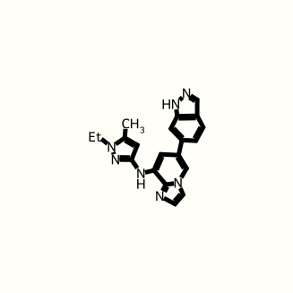 CCn1nc(Nc2cc(-c3ccc4cn[nH]c4c3)cn3ccnc23)cc1C